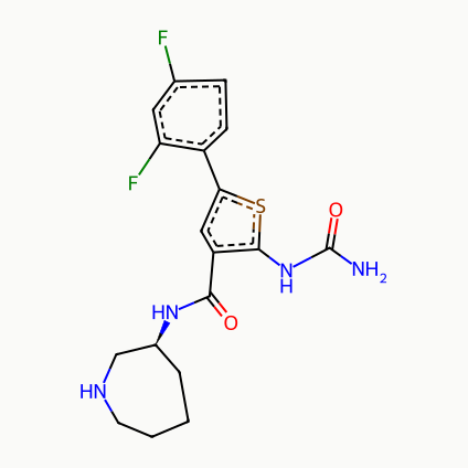 NC(=O)Nc1sc(-c2ccc(F)cc2F)cc1C(=O)N[C@H]1CCCCNC1